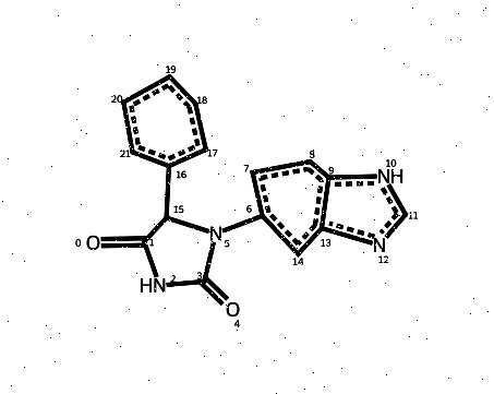 O=C1NC(=O)N(c2ccc3[nH]cnc3c2)C1c1ccccc1